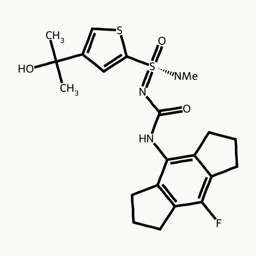 CN[S@](=O)(=NC(=O)Nc1c2c(c(F)c3c1CCC3)CCC2)c1cc(C(C)(C)O)cs1